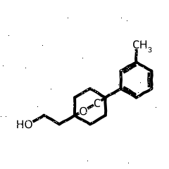 Cc1cccc(C23CCC(CCO)(CC2)OC3)c1